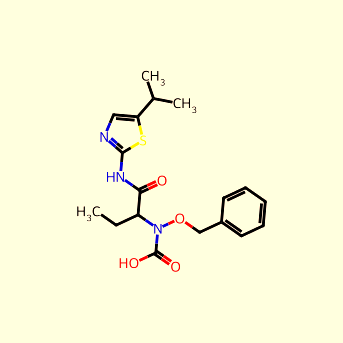 CCC(C(=O)Nc1ncc(C(C)C)s1)N(OCc1ccccc1)C(=O)O